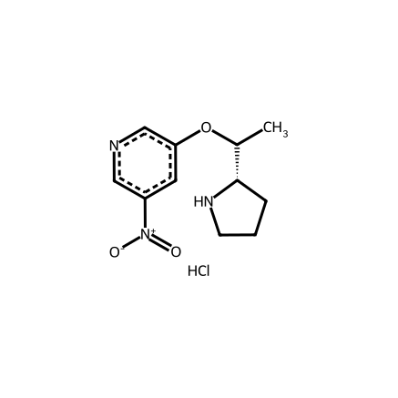 CC(Oc1cncc([N+](=O)[O-])c1)[C@@H]1CCCN1.Cl